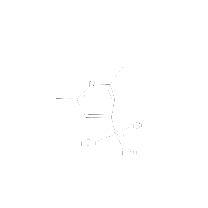 CCC[CH2][Sn]([CH2]CCC)([CH2]CCC)[c]1cc(C)nc(C)c1